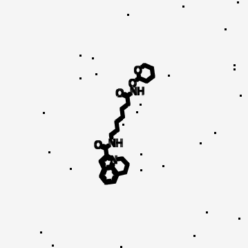 O=C(CCCCCCNC(=O)c1cc2cccc3c2n1CCC3)NOC1CCCCO1